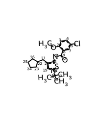 COc1ccc(Cl)cc1C(=O)N=c1sn(C(C)(C)C)cc1CC1CCCC1